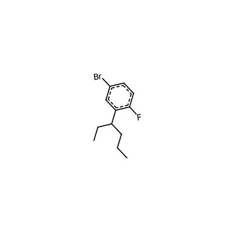 CCCC(CC)c1cc(Br)ccc1F